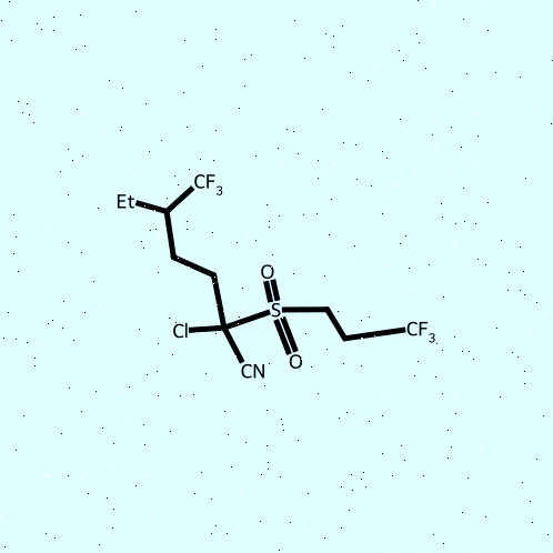 CCC(CCC(Cl)(C#N)S(=O)(=O)CCC(F)(F)F)C(F)(F)F